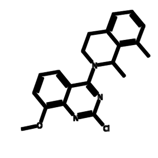 COc1cccc2c(N3CCc4cccc(C)c4C3C)nc(Cl)nc12